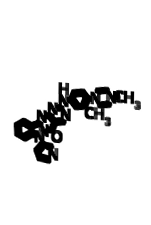 Cc1cc(Nc2ncc3c(=O)n4c(nc3n2)c2ccccc2n4-c2cccnc2)ccc1N1CCN(C)CC1